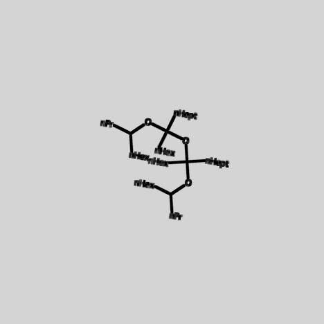 CCCCCCCC(CCCCCC)(OC(CCC)CCCCCC)OC(CCCCCC)(CCCCCCC)OC(CCC)CCCCCC